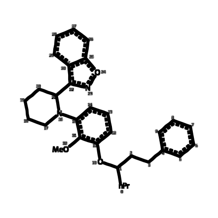 CCCC(CCc1ccccc1)Oc1[c]ccc(N2CCCCC2c2noc3ccccc23)c1OC